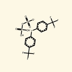 FC(F)(F)c1ccc([I+]c2ccc(C(F)(F)F)cc2)cc1.O=P(O)(O)[O][W](=[O])(=[O])[O-]